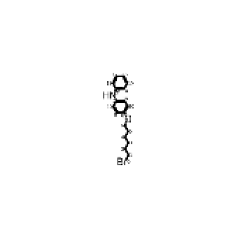 BrCCCCCCOc1ccc(Nc2ccccc2)cc1